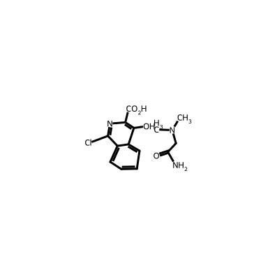 CN(C)CC(N)=O.O=C(O)c1nc(Cl)c2ccccc2c1O